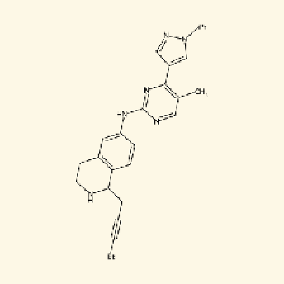 CCC#CCC1NCCc2cc(Nc3ncc(C)c(-c4cnn(C(C)C)c4)n3)ccc21